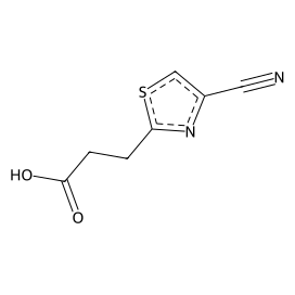 N#Cc1csc(CCC(=O)O)n1